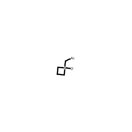 CC(=O)C[N+]1([O-])CCC1